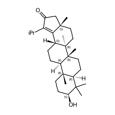 CC(C)C1=C2[C@H]3CC[C@@H]4[C@@]5(C)CC[C@H](O)C(C)(C)[C@@H]5CC[C@@]4(C)[C@]3(C)CC[C@@]2(C)CC1=O